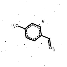 [CH2]c1ccc(C=C)cc1.[Ti]